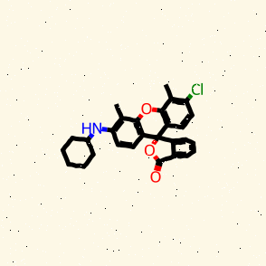 Cc1c(Cl)ccc2c1Oc1c(ccc(NC3CCCCC3)c1C)C21OC(=O)c2ccccc21